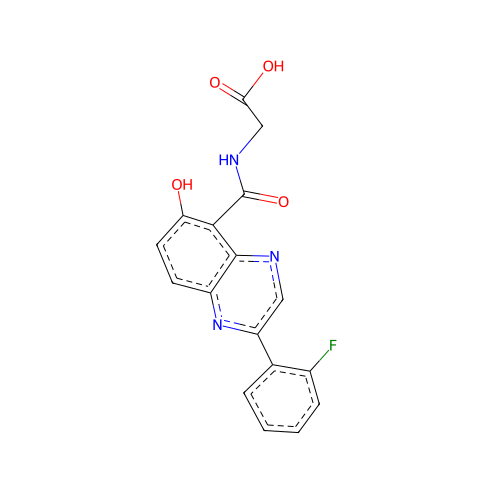 O=C(O)CNC(=O)c1c(O)ccc2nc(-c3ccccc3F)cnc12